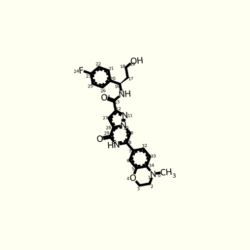 CN1CCOc2cc(-c3cn4nc(C(=O)N[C@H](CCO)c5ccc(F)cc5)cc4c(=O)[nH]3)ccc21